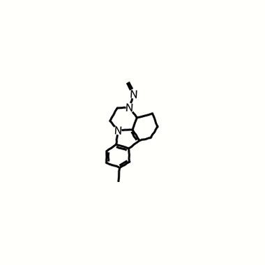 C=NN1CCn2c3c(c4cc(C)ccc42)CCCC31